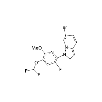 COc1nc(N2CC=C3C=CC(Br)=CN32)c(F)cc1OC(F)F